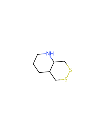 C1CNC2CSSCC2C1